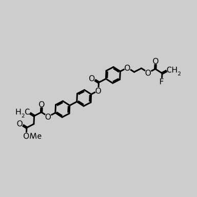 C=C(F)C(=O)OCCOc1ccc(C(=O)Oc2ccc(-c3ccc(OC(=O)C(=C)CC(=O)OC)cc3)cc2)cc1